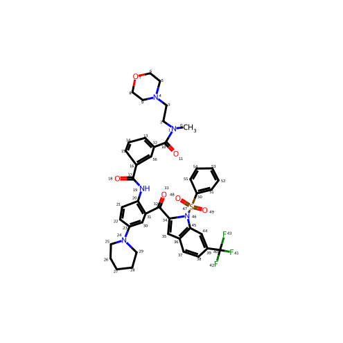 CN(CCN1CCOCC1)C(=O)c1cccc(C(=O)Nc2ccc(N3CCCCC3)cc2C(=O)c2cc3ccc(C(F)(F)F)cc3n2S(=O)(=O)c2ccccc2)c1